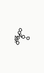 c1ccc(-c2ccc(N(c3ccc4ccccc4c3)c3cnc4sc5ccccc5c4c3)cc2)cc1